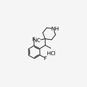 CC(c1c(F)cccc1F)C1(C#N)CCNCC1.Cl